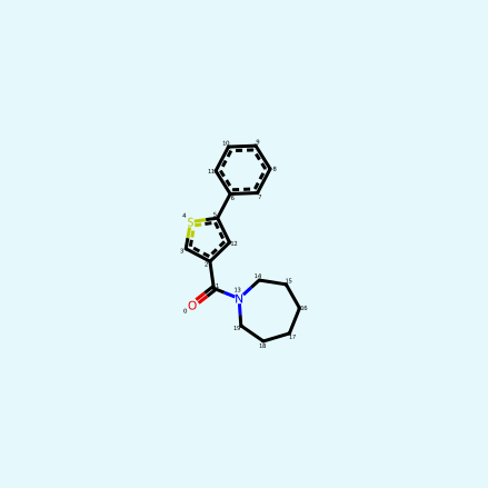 O=C(c1csc(-c2ccccc2)c1)N1CCCCCC1